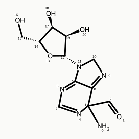 NC1(C=O)N=CN=C2C1=NCN2[C@@H]1O[C@H](CO)[C@@H](O)[C@H]1O